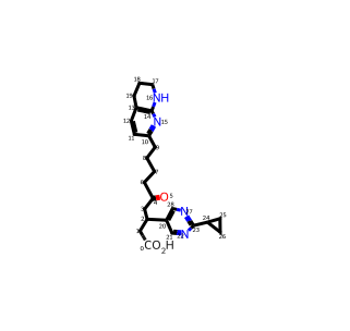 O=C(O)CC(CC(=O)CCCCc1ccc2c(n1)NCCC2)c1cnc(C2CC2)nc1